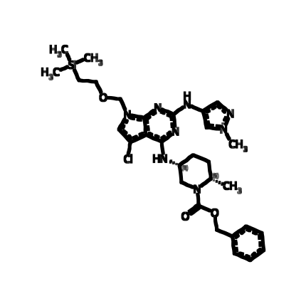 C[C@H]1CC[C@@H](Nc2nc(Nc3cnn(C)c3)nc3c2c(Cl)cn3COCC[Si](C)(C)C)CN1C(=O)OCc1ccccc1